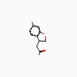 COC(=O)CC1COc2cc(N)ccc21